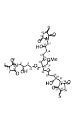 C=C1CC(=O)N(CC(O)CCOCC(COC)(COCCC(O)CN2C(=O)CC(=C)C2=O)COCCC(O)CN2C(=O)CC(=C)C2=O)C1=O